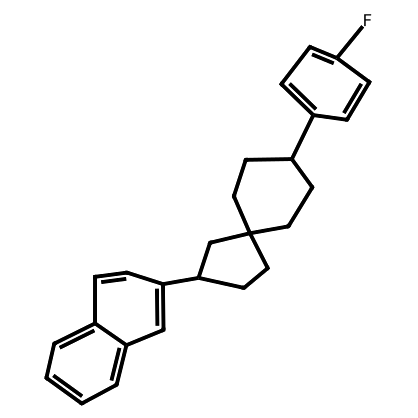 Fc1ccc(C2CCC3(CC2)CCC(c2ccc4ccccc4c2)C3)cc1